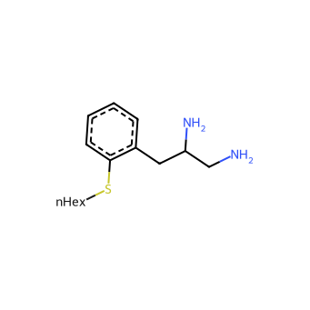 CCCCCCSc1ccccc1CC(N)CN